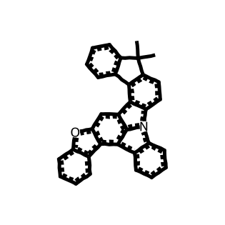 CC1(C)c2ccccc2-c2c1ccc1c2c2cc3oc4ccccc4c3c3c4ccccc4n1c23